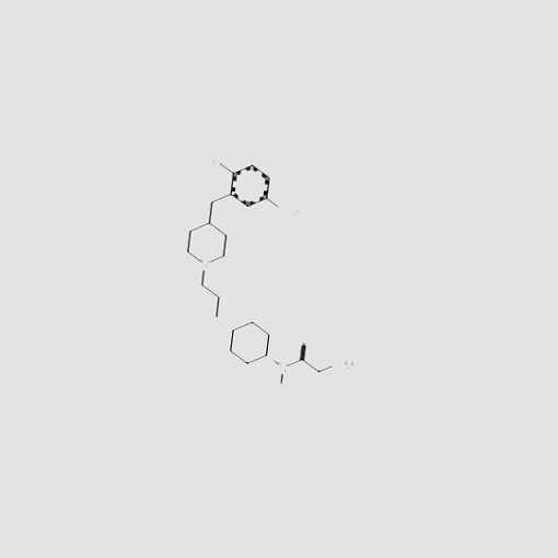 CCN(C(=O)COC)[C@H]1CC[C@H](CCCN2CCC(Cc3cc(OC)ccc3Br)CC2)CC1